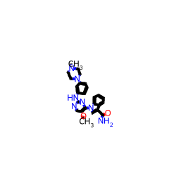 COc1cnc(Nc2cccc(N3CCN(C)CC3)c2)nc1-n1cc(C(N)=O)c2ccccc21